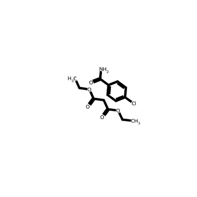 CCOC(=O)CC(=O)OCC.NC(=O)c1ccc(Cl)cc1